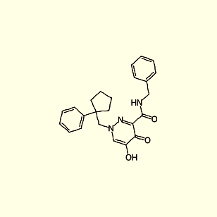 O=C(NCc1ccccc1)c1nn(CC2(c3ccccc3)CCCC2)cc(O)c1=O